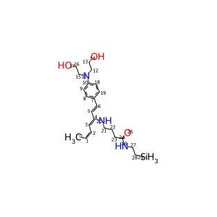 C\C=C/C=C(/C=C/c1ccc(N(CCO)CCO)cc1)NCCCC(=O)NCC[SiH3]